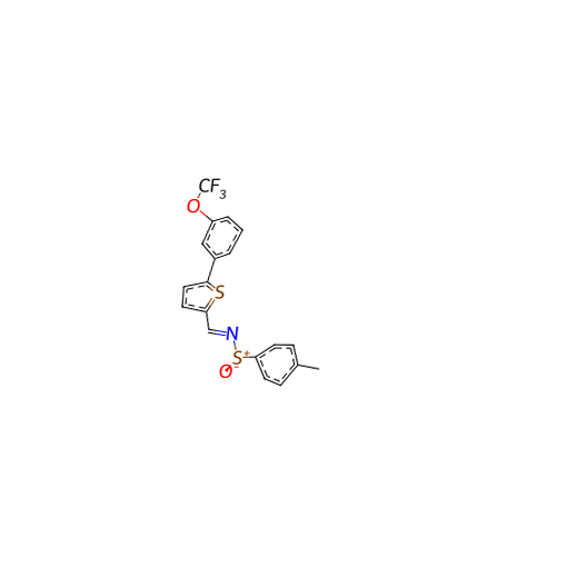 Cc1ccc([S@@+]([O-])N=Cc2ccc(-c3cccc(OC(F)(F)F)c3)s2)cc1